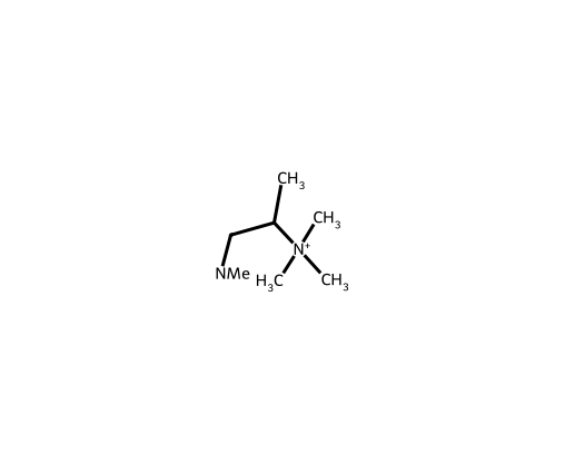 CNCC(C)[N+](C)(C)C